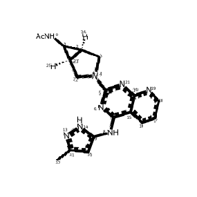 CC(=O)NC1[C@H]2CN(c3nc(Nc4cc(C)n[nH]4)c4cccnc4n3)C[C@@H]12